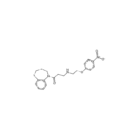 O=C(CCNCCOc1ccc([N+](=O)[O-])cc1)N1CCCSc2ccccc21